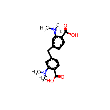 CN(C)c1cc(Cc2ccc(C(=O)O)c(N(C)C)c2)ccc1C(=O)O